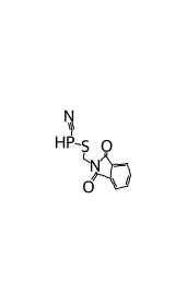 N#CPSCN1C(=O)c2ccccc2C1=O